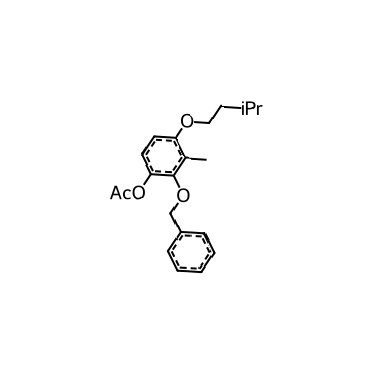 CC(=O)Oc1ccc(OCCC(C)C)c(C)c1OCc1ccccc1